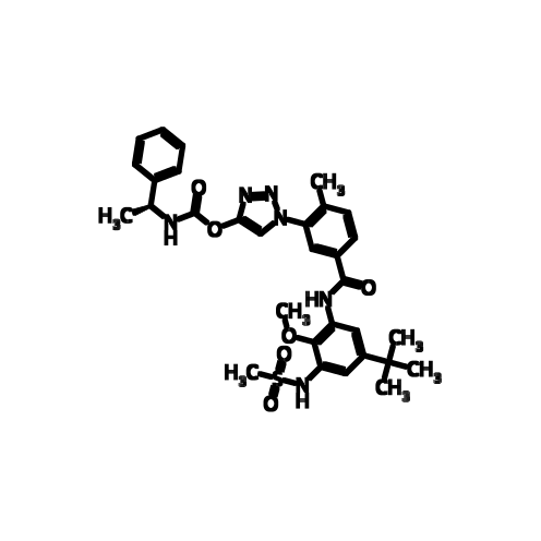 COc1c(NC(=O)c2ccc(C)c(-n3cc(OC(=O)N[C@@H](C)c4ccccc4)nn3)c2)cc(C(C)(C)C)cc1NS(C)(=O)=O